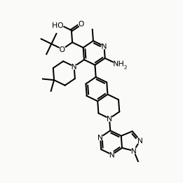 Cc1nc(N)c(-c2ccc3c(c2)CCN(c2ncnc4c2cnn4C)C3)c(N2CCC(C)(C)CC2)c1C(OC(C)(C)C)C(=O)O